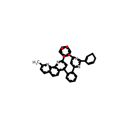 Cc1ccc2ccc3c(-c4ccccc4-c4cc(-c5ccccc5)nc(C5=CCCC=C5)n4)cc(-c4ccccc4)nc3c2n1